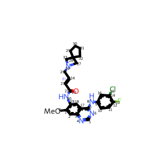 COc1cc2ncnc(Nc3ccc(F)c(Cl)c3)c2cc1NC(=O)/C=C/CN1CC2(CCCC2)C1